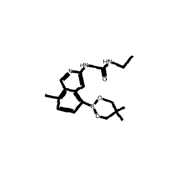 CCNC(=O)Nc1cc2c(B3OCC(C)(C)CO3)ccc(C)c2cn1